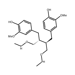 COc1cc(C[C@@H](COPC)[C@H](COPC)Cc2ccc(O)c(OC)c2)ccc1O